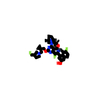 CCc1c(F)ccc2cc(O)cc(-c3nc4c5c(nc(OCC6(CN7CCC(=CF)C7)CC6)nc5c3F)N3C[C@H]5CC[C@H](N5)[C@H]3[C@H](C)O4)c12